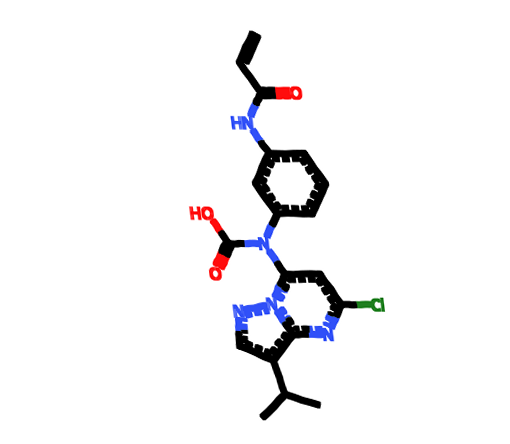 C=CC(=O)Nc1cccc(N(C(=O)O)c2cc(Cl)nc3c(C(C)C)cnn23)c1